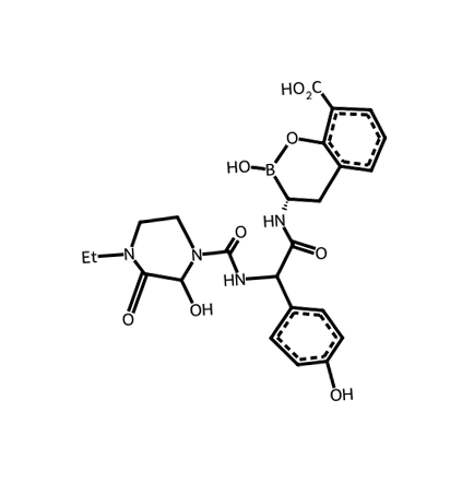 CCN1CCN(C(=O)NC(C(=O)N[C@H]2Cc3cccc(C(=O)O)c3OB2O)c2ccc(O)cc2)C(O)C1=O